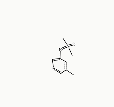 Cc1cncc(N=S(C)(C)=O)c1